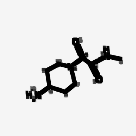 CNC(=O)C(=O)N1CCC(N)CC1